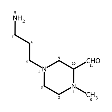 CN1CCN(CCCN)CC1C=O